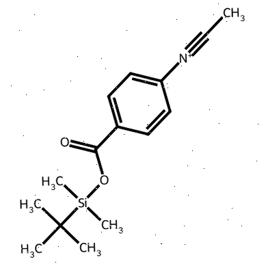 CC#[N+]c1ccc(C(=O)O[Si](C)(C)C(C)(C)C)cc1